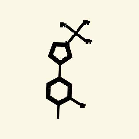 Cc1ccc(-c2ccn([Si](C(C)C)(C(C)C)C(C)C)c2)cc1Br